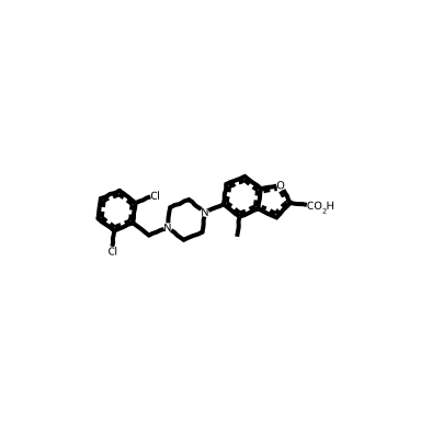 Cc1c(N2CCN(Cc3c(Cl)cccc3Cl)CC2)ccc2oc(C(=O)O)cc12